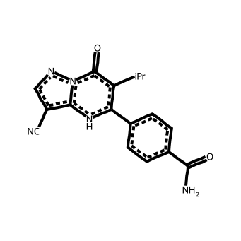 CC(C)c1c(-c2ccc(C(N)=O)cc2)[nH]c2c(C#N)cnn2c1=O